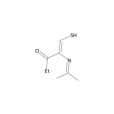 CCC(=O)/C(=C/S)N=C(C)C